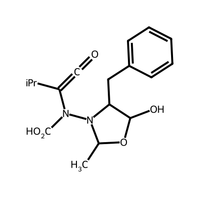 CC(C)C(=C=O)N(C(=O)O)N1C(C)OC(O)C1Cc1ccccc1